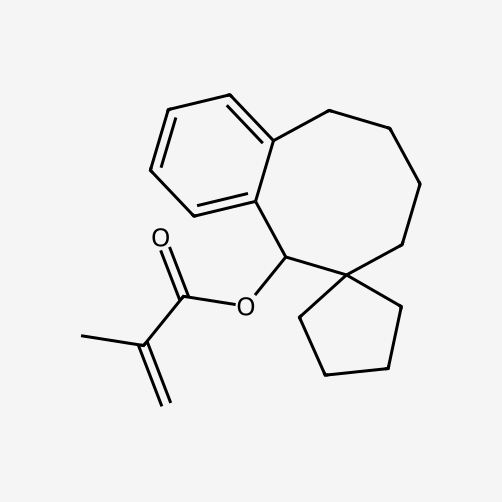 C=C(C)C(=O)OC1c2ccccc2CCCCC12CCCC2